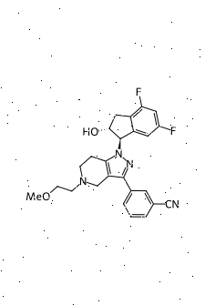 COCCN1CCc2c(c(-c3cccc(C#N)c3)nn2[C@@H]2c3cc(F)cc(F)c3C[C@H]2O)C1